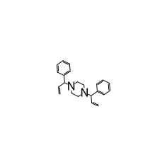 C=CC(c1ccccc1)N1CCN(C(C=C)c2ccccc2)CC1